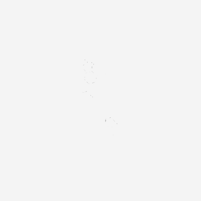 CCOc1cc(C(=O)N2CCC3(CC2)Cc2sc(C(C)(C)C)nc2C(O)C3)cc2c(C)nn(C)c12